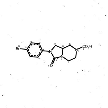 O=C(O)N1CCN2C(=O)N(c3ccc(Br)cc3)CC2C1